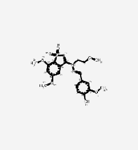 COCCN(N=Cc1ccc(O)c(OC)c1)C1=NS(=O)(=O)c2c(OC)cc(OC)cc21